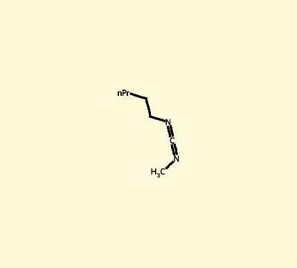 CCCCCN=C=NC